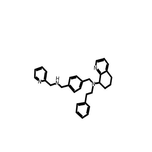 c1ccc(CCN(Cc2ccc(CNCc3ccccn3)cc2)C2CCCc3cccnc32)cc1